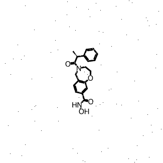 C[C@H](C(=O)N1CCOc2cc(C(=O)NO)ccc2C1)c1ccccc1